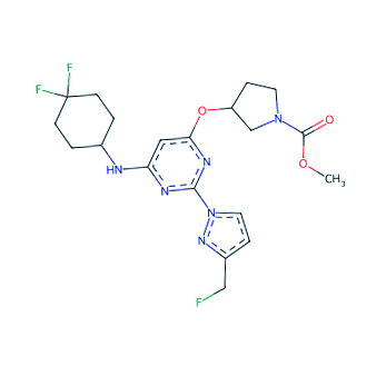 COC(=O)N1CCC(Oc2cc(NC3CCC(F)(F)CC3)nc(-n3ccc(CF)n3)n2)C1